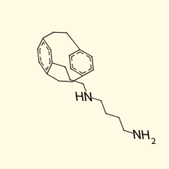 NCCCCNCCCc1cc2ccc1CCc1ccc(cc1)CC2